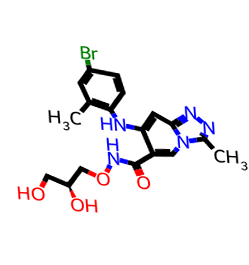 Cc1cc(Br)ccc1Nc1cc2nnc(C)n2cc1C(=O)NOC[C@@H](O)CO